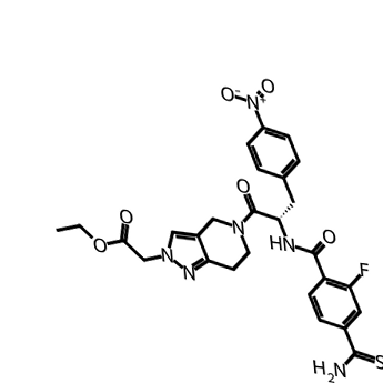 CCOC(=O)Cn1cc2c(n1)CCN(C(=O)[C@H](Cc1ccc([N+](=O)[O-])cc1)NC(=O)c1ccc(C(N)=S)cc1F)C2